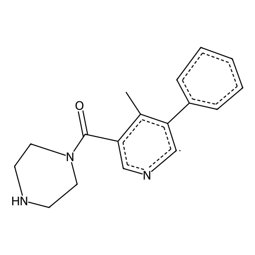 Cc1c(-c2ccccc2)[c]ncc1C(=O)N1CCNCC1